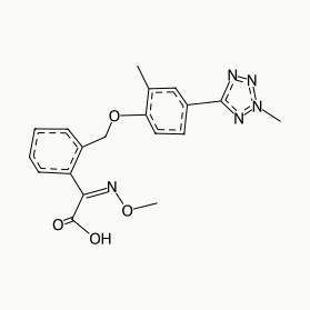 CON=C(C(=O)O)c1ccccc1COc1ccc(-c2nnn(C)n2)cc1C